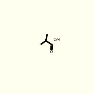 CC(C)C=O.[CsH]